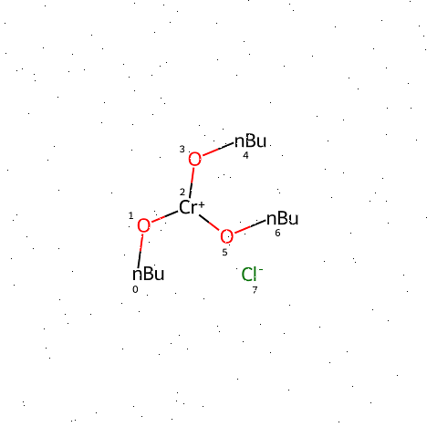 CCCC[O][Cr+]([O]CCCC)[O]CCCC.[Cl-]